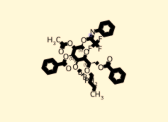 CCCCO[C@@H](COC(=O)c1ccccc1)C1O[C@@H](O/C(=N/c2ccccc2)C(F)(F)F)C(OC(C)=O)[C@@H](OC(=O)c2ccccc2)[C@@H]1OB=BP